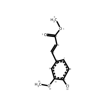 COC(=O)C=Cc1ccc(Cl)c(OC)c1